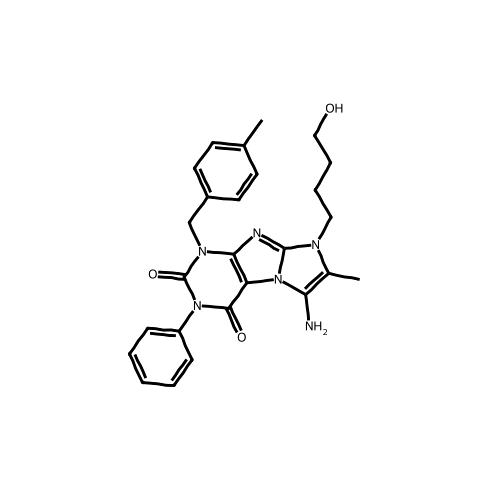 Cc1ccc(Cn2c(=O)n(-c3ccccc3)c(=O)c3c2nc2n(CCCCO)c(C)c(N)n32)cc1